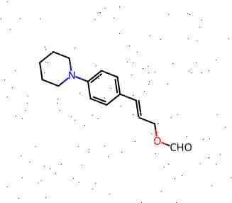 O=CO[CH]/C=C/c1ccc(N2CCCCC2)cc1